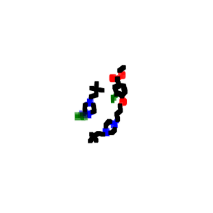 CC(C)(C)CCN1CCNCC1.CCOC(=O)c1ccc(OCCCCN2CCN(CCC(C)(C)C)CC2)c(F)c1.Cl